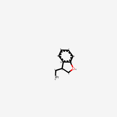 CC(C)CC1COc2ccccc21